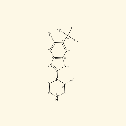 C[C@@H]1CNCCN1c1nc2cc(F)c(C(F)(F)F)cc2s1